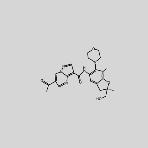 CC(=O)c1cnc2c(C(=O)Nc3cc4c(c(C)c3N3CCOCC3)O[C@@](C)(CO)C4)cnn2c1